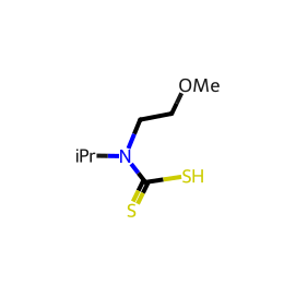 COCCN(C(=S)S)C(C)C